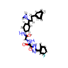 Cc1ccc(F)cc1-c1noc(C(=O)NCC(=O)NC2CCC(C(CCc3ccccc3)N(C)C)CC2)n1